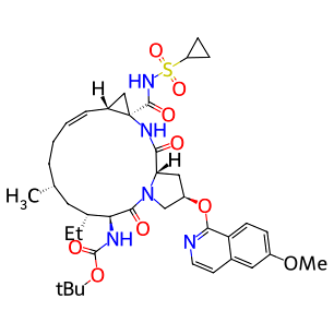 CC[C@@H]1C[C@H](C)CC/C=C\[C@@H]2C[C@@]2(C(=O)NS(=O)(=O)C2CC2)NC(=O)[C@@H]2C[C@@H](Oc3nccc4cc(OC)ccc34)CN2C(=O)[C@H]1NC(=O)OC(C)(C)C